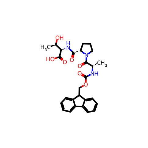 C[C@H](NC(=O)OCC1c2ccccc2-c2ccccc21)C(=O)N1CCC[C@H]1C(=O)N[C@H](C(=O)O)[C@@H](C)O